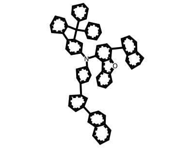 c1ccc(C2(c3ccccc3)c3ccccc3-c3ccc(N(c4ccc(-c5cccc(-c6ccc7ccccc7c6)c5)cc4)c4ccc(-c5cccc6ccccc56)c5oc6ccccc6c45)cc32)cc1